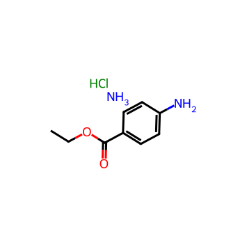 CCOC(=O)c1ccc(N)cc1.Cl.N